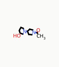 CC(=O)N1CCC(N2CCCC(O)C2)CC1